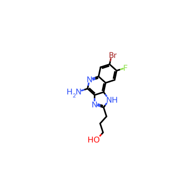 Nc1nc2cc(Br)c(F)cc2c2[nH]c(CCCO)nc12